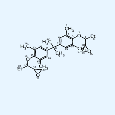 CCC(Oc1c(C)cc(C(C)(C)c2cc(C)c(OC(CC)C3CO3)c(C)c2)cc1C)C1CO1